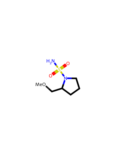 COCC1CCCN1S(N)(=O)=O